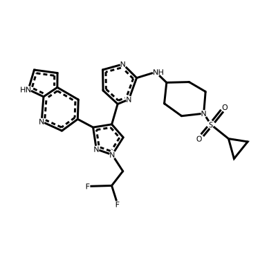 O=S(=O)(C1CC1)N1CCC(Nc2nccc(-c3cn(CC(F)F)nc3-c3cnc4[nH]ccc4c3)n2)CC1